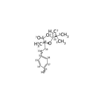 CC(C)(C)[C@@H]1OC(=O)[C@](C)(CSc2ccc(F)cc2)O1